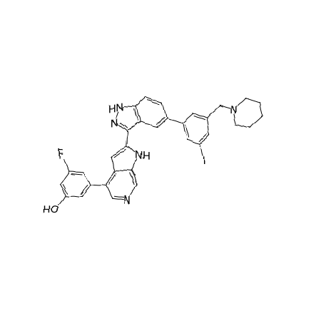 Oc1cc(F)cc(-c2cncc3[nH]c(-c4n[nH]c5ccc(-c6cc(I)cc(CN7CCCCC7)c6)cc45)cc23)c1